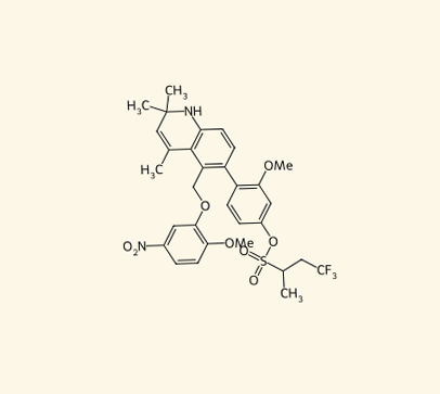 COc1ccc([N+](=O)[O-])cc1OCc1c(-c2ccc(OS(=O)(=O)C(C)CC(F)(F)F)cc2OC)ccc2c1C(C)=CC(C)(C)N2